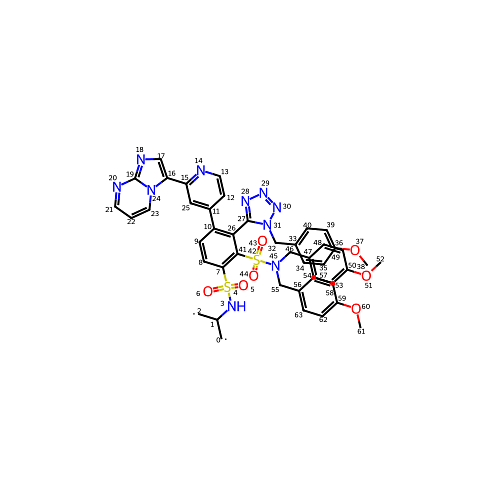 [CH2]C([CH2])NS(=O)(=O)c1ccc(-c2ccnc(-c3cnc4ncccn34)c2)c(-c2nnnn2Cc2ccc(OC)cc2)c1S(=O)(=O)N(Cc1ccc(OC)cc1)Cc1ccc(OC)cc1